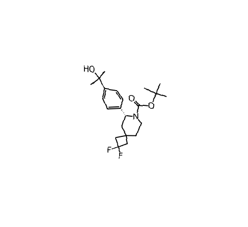 CC(C)(C)OC(=O)N1CCC2(C[C@@H]1c1ccc(C(C)(C)O)cc1)CC(F)(F)C2